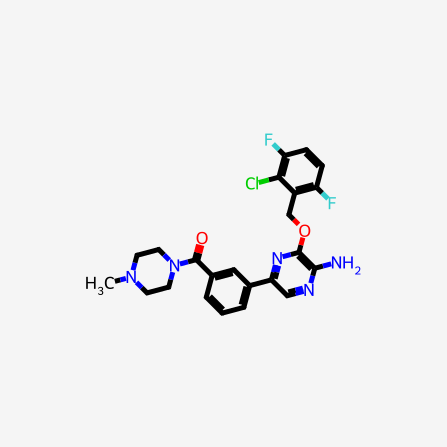 CN1CCN(C(=O)c2cccc(-c3cnc(N)c(OCc4c(F)ccc(F)c4Cl)n3)c2)CC1